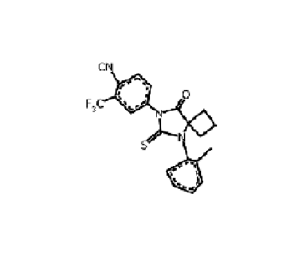 [C-]#[N+]c1ccc(N2C(=O)C3(CCC3)N(c3ccccc3C)C2=S)cc1C(F)(F)F